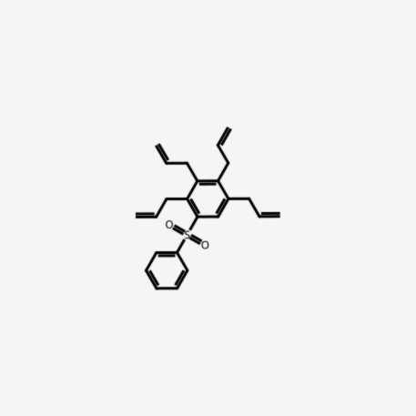 C=CCc1cc(S(=O)(=O)c2ccccc2)c(CC=C)c(CC=C)c1CC=C